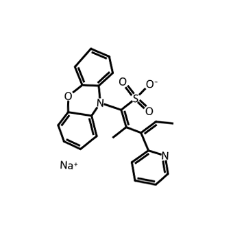 CC=C(C(C)=C(N1c2ccccc2Oc2ccccc21)S(=O)(=O)[O-])c1ccccn1.[Na+]